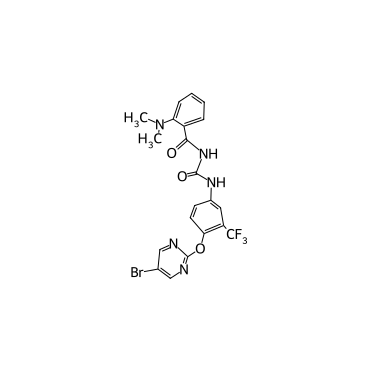 CN(C)c1ccccc1C(=O)NC(=O)Nc1ccc(Oc2ncc(Br)cn2)c(C(F)(F)F)c1